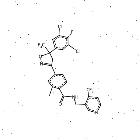 Cc1cc(C2=NOC(c3cc(Cl)c(F)c(Cl)c3)(C(F)(F)F)C2)ccc1C(=O)NCc1cnccc1C(F)(F)F